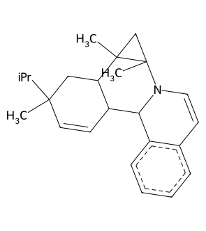 CC(C)C1(C)C=CC2C3c4ccccc4C=CN3C3(C)CC3(C)C2C1